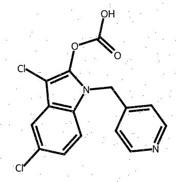 O=C(O)Oc1c(Cl)c2cc(Cl)ccc2n1Cc1ccncc1